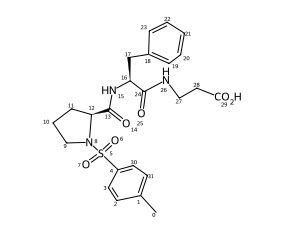 Cc1ccc(S(=O)(=O)N2CCC[C@H]2C(=O)N[C@@H](Cc2ccccc2)C(=O)NCCC(=O)O)cc1